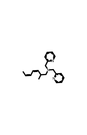 C/C=C\C=C/C(C)CN(Cc1ccccn1)Cc1ccccn1